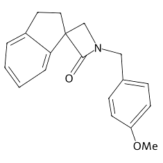 COc1ccc(CN2CC3(CCc4ccccc43)C2=O)cc1